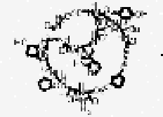 CCC[C@@H]1NC(=O)[C@H](Cc2c[nH]c3ncccc23)NC(=O)[C@H]([C@@H](C)O)NC(=O)[C@@H]2CCCCCNC(=O)C[C@H](NC1=O)C(=O)N[C@@H](Cc1ccc(O)cc1)C(=O)N[C@@H](C1CCCCC1)C(=O)N[C@@H]([C@@H](C)O)C(=O)N[C@H](C(N)=O)CSCc1cccc(c1)CSCCC(=O)N[C@@H](C(C)(C)C)C(=O)N[C@@H](Cc1ccc(O)cc1)C(=O)N2